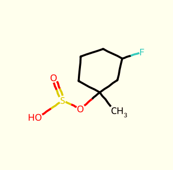 CC1(OS(=O)O)CCCC(F)C1